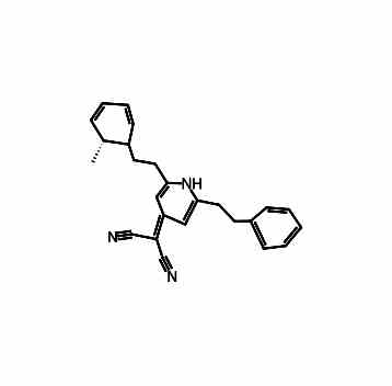 C[C@@H]1C=CC=CC1CCC1=CC(=C(C#N)C#N)C=C(CCc2ccccc2)N1